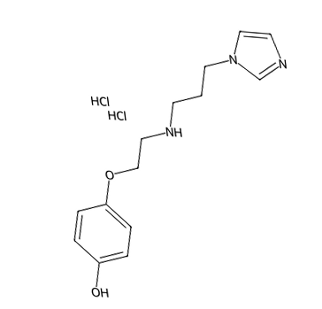 Cl.Cl.Oc1ccc(OCCNCCCn2ccnc2)cc1